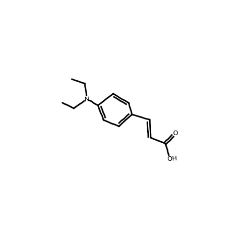 CCN(CC)c1ccc(C=CC(=O)O)cc1